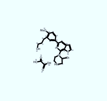 CCC1CNCCN1c1nc(-c2ccc(OC)c(CCCO)c2)cc2ccsc12.O=C(O)C(=O)O